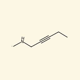 [CH2]NCC#CCC